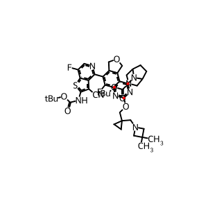 CC1(C)CN(CC2(COc3nc(N4C5CCC4CN(C(=O)OC(C)(C)C)C5)c4c5c(c(-c6ncc(F)c7sc(NC(=O)OC(C)(C)C)c(C#N)c67)c(F)c4n3)COC5)CC2)C1